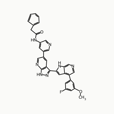 COc1cc(F)cc(-c2cncc3[nH]c(-c4n[nH]c5ncc(-c6cncc(NC(=O)Cc7ccccc7)c6)cc45)cc23)c1